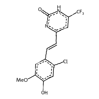 COc1cc(/C=C/c2cc(C(F)(F)F)[nH]c(=O)n2)c(Cl)cc1O